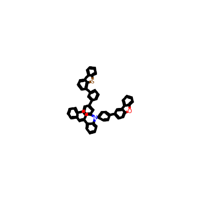 c1cc(-c2cccc(N(c3ccc(-c4ccc5oc6ccccc6c5c4)cc3)c3ccccc3-c3ccc4ccccc4c3)c2)cc(-c2cccc3c2sc2ccccc23)c1